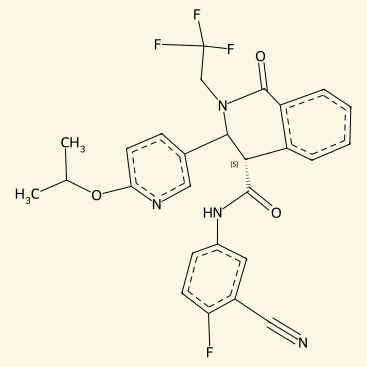 CC(C)Oc1ccc(C2[C@@H](C(=O)Nc3ccc(F)c(C#N)c3)c3ccccc3C(=O)N2CC(F)(F)F)cn1